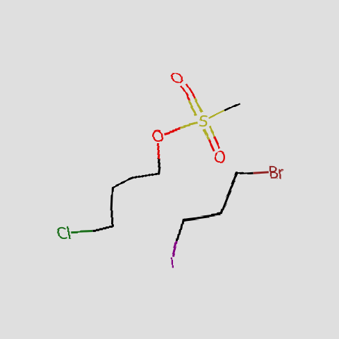 BrCCCI.CS(=O)(=O)OCCCCl